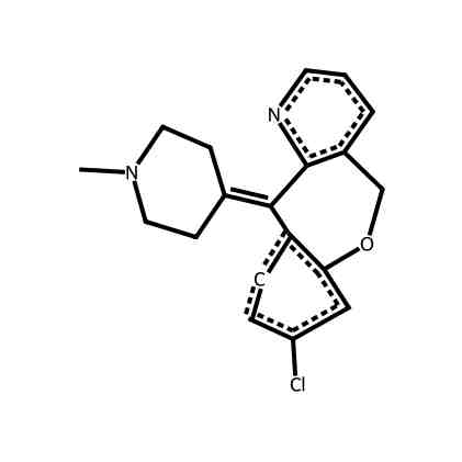 CN1CCC(=C2c3ccc(Cl)cc3OCc3cccnc32)CC1